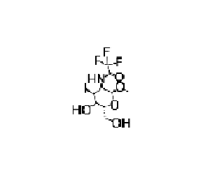 CO[C@H]1O[C@H](CO)[C@@H](O)[C@@H](I)[C@H]1NC(=O)C(F)(F)F